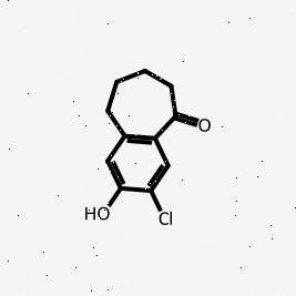 O=C1CCCCc2cc(O)c(Cl)cc21